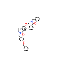 O=C(O)CN(Cc1ccc(OCc2ccccc2)cc1)C(=O)c1ccc(OCCN(Cc2ccccc2)C(=O)c2ccccc2)cc1